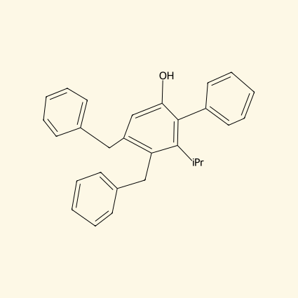 CC(C)c1c(Cc2ccccc2)c(Cc2ccccc2)cc(O)c1-c1ccccc1